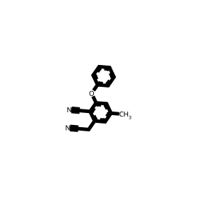 Cc1cc(CC#N)c(C#N)c(Oc2ccccc2)c1